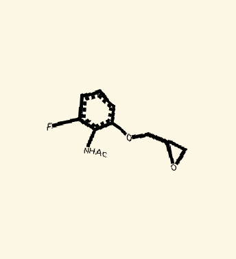 CC(=O)Nc1c(F)cccc1OCC1CO1